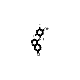 Oc1cc(Nc2ccnc3cc(Cl)ccc23)c(F)cc1Cl